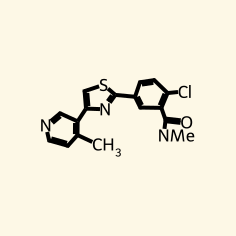 CNC(=O)c1cc(-c2nc(-c3cnccc3C)cs2)ccc1Cl